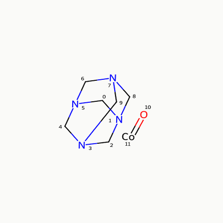 C1N2CN3CN1CN(C2)C3.[O]=[Co]